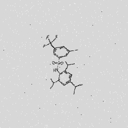 Cc1cc(C(F)(F)F)cc(S(=O)(=O)Nc2c(C(C)C)cc(C(C)C)cc2C(C)C)c1